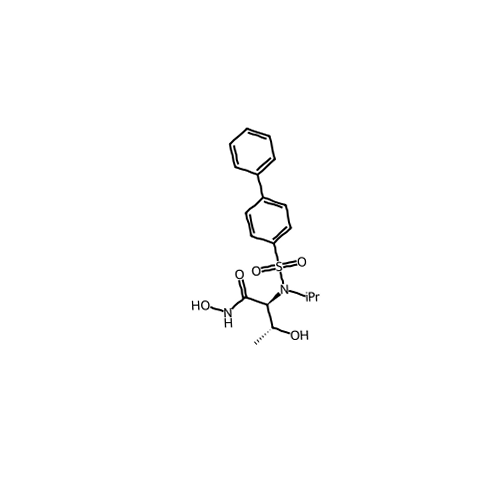 CC(C)N([C@H](C(=O)NO)[C@@H](C)O)S(=O)(=O)c1ccc(-c2ccccc2)cc1